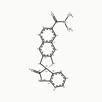 CN(C)C(=O)c1cnc2cc3c(cc2c1)C[C@@]1(C3)C(=O)Nc2ncccc21